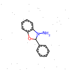 NN1c2ccccc2OC1c1ccccc1